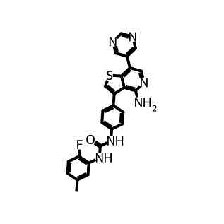 Cc1ccc(F)c(NC(=O)Nc2ccc(-c3csc4c(-c5cncnc5)cnc(N)c34)cc2)c1